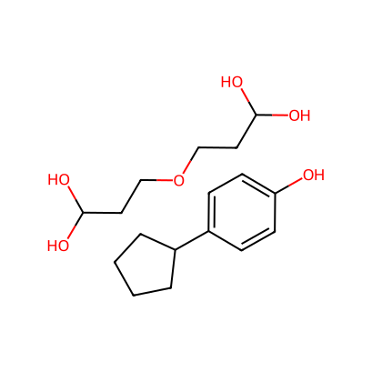 OC(O)CCOCCC(O)O.Oc1ccc(C2CCCC2)cc1